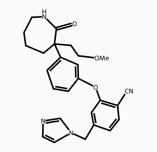 COCCC1(c2cccc(Oc3cc(Cn4ccnc4)ccc3C#N)c2)CCCCNC1=O